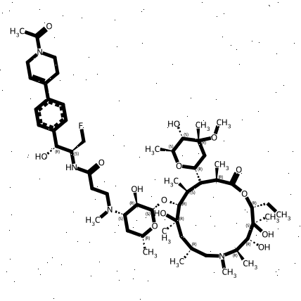 CC[C@H]1OC(=O)[C@H](C)C([C@H]2C[C@@](C)(OC)[C@@H](O)[C@H](C)O2)[C@H](C)[C@@H](O[C@@H]2O[C@H](C)C[C@H](N(C)CCC(=O)N[C@H](CF)[C@H](O)c3ccc(C4=CCN(C(C)=O)CC4)cc3)[C@H]2O)[C@](C)(O)C[C@@H](C)CN(C)[C@H](C)[C@@H](O)[C@]1(C)O